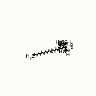 CCCCCCCCCCCCCCCCCC(CC(O)O)C(C(=O)[O-])[N+](C)(C)C